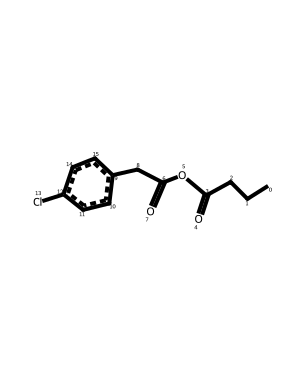 CC[CH]C(=O)OC(=O)Cc1ccc(Cl)cc1